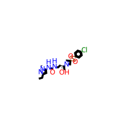 CCc1cc(NC(=O)NCC[C@@H](CO)N2CC(S(=O)(=O)c3ccc(Cl)cc3)C2)n(C)n1